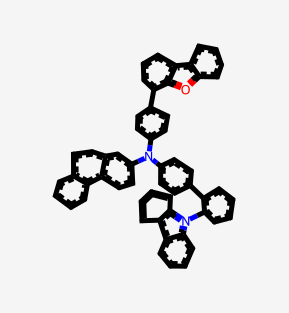 C1=C=Cc2c(c3ccccc3n2-c2ccccc2-c2ccc(N(c3ccc(-c4cccc5c4oc4ccccc45)cc3)c3ccc4c(ccc5ccccc54)c3)cc2)C=1